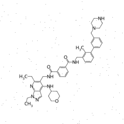 CCc1nc2c(cnn2CC)c(NC2CCOCC2)c1CNC(=O)c1cccc(C(=O)NCc2cccc(-c3cccc(CN4CCNCC4)c3)c2C)c1